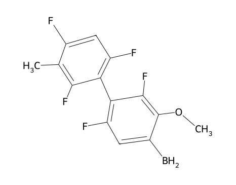 Bc1cc(F)c(-c2c(F)cc(F)c(C)c2F)c(F)c1OC